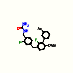 COc1ccc(Cc2ccc(CNC(N)=O)c(F)c2)c(F)c1-c1cccc(C(C)=O)c1